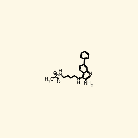 CS(=O)(=O)NCCCCNc1c(N)cnc2cc(-c3ccccc3)ccc12